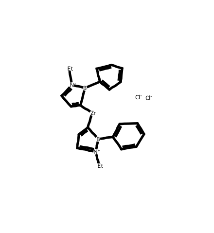 CC[N+]1=CC=[C]([Zr][C]2=CC=[N+](CC)B2c2ccccc2)B1c1ccccc1.[Cl-].[Cl-]